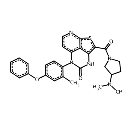 Cc1cc(Oc2ccccc2)ccc1N1C(=O)Nc2c(C(=O)N3CCC(N(C)C)C3)sc3nccc1c23